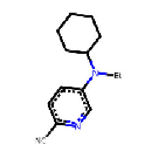 CCN(c1ccc(C#N)nc1)C1CCCCC1